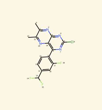 Cc1nc2nc(Cl)nc(-c3ccc(C(F)F)cc3F)c2nc1C